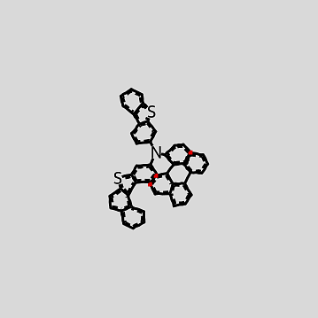 c1ccc(-c2cccc3cccc(-c4ccccc4N(c4ccc5c(c4)sc4ccccc45)c4ccc5c(c4)sc4ccc6ccccc6c45)c23)cc1